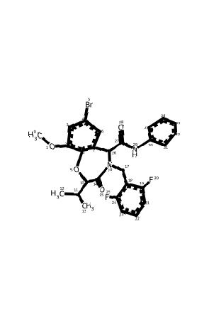 COc1cc(Br)cc2c1OC(C(C)C)C(=O)N(Cc1c(F)cccc1F)C2C(=O)Nc1ccccc1